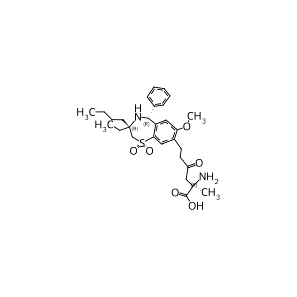 CCCC[C@]1(CC)CS(=O)(=O)c2cc(CCC(=O)C[C@@](C)(N)C(=O)O)c(OC)cc2[C@@H](c2ccccc2)N1